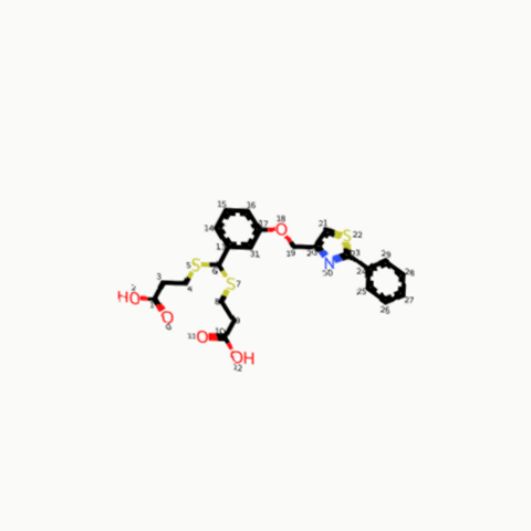 O=C(O)CCSC(SCCC(=O)O)c1cccc(OCc2csc(-c3ccccc3)n2)c1